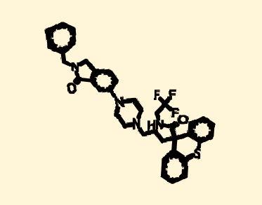 O=C1c2cc(N3CCN(CCCC4(C(=O)NCC(F)(F)F)c5ccccc5Sc5ccccc54)CC3)ccc2CN1Cc1ccccc1